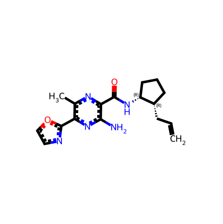 C=CC[C@H]1CCC[C@H]1NC(=O)c1nc(C)c(-c2ncco2)nc1N